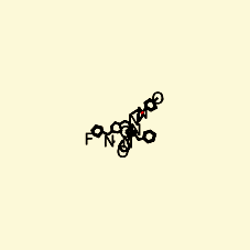 COc1ccc(N2CCN(C(CC3CCC(C(c4cccc(F)c4)N(C)C)CC3)c3nc(Cc4ccccc4)c(N4CCOCC4)o3)CC2)cc1